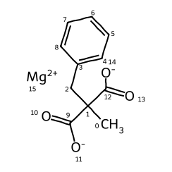 CC(Cc1ccccc1)(C(=O)[O-])C(=O)[O-].[Mg+2]